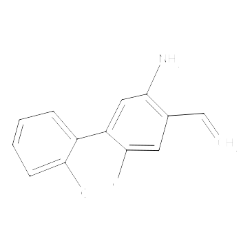 C=Cc1cc(Cl)c(-c2ccccc2Cl)cc1N